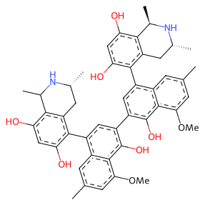 COc1cc(C)cc2c(-c3c(O)cc(O)c4c3C[C@@H](C)NC4C)cc(-c3cc(-c4c(O)cc(O)c5c4C[C@@H](C)N[C@@H]5C)c4cc(C)cc(OC)c4c3O)c(O)c12